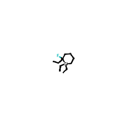 CCC1(F)CCCC[Si]1(CC)CC